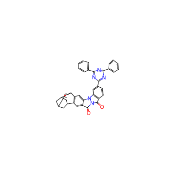 O=c1c2ccc(-c3nc(-c4ccccc4)nc(-c4ccccc4)n3)cc2n2c3cc4c(cc3c(=O)n12)C1CC2CC(C1)CC4C2